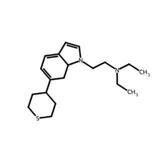 CCN(CC)CCN1C=CC2=CC=C(C3CCSCC3)CC21